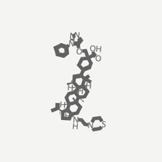 C=C(C)[C@@H]1CC[C@]2(NCCN3CCSCC3)CC[C@]3(C)[C@H](CC[C@@H]4[C@@H]5[C@@H](CC[C@]43C)C(C)(C)C(C3=CCC(COc4cnnn4-c4ccccc4)(C(=O)O)CC3)=C[C@@H]5C)[C@@H]12